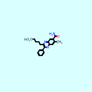 Cc1cc2nc(-c3ccccc3)c(CCCCC(=O)O)nc2cc1C(N)=O